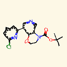 CC(C)(C)OC(=O)N1CCOc2c(-c3cccc(Cl)n3)cncc21